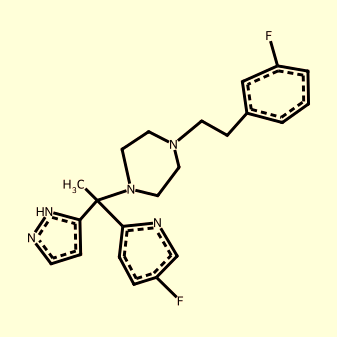 CC(c1ccc(F)cn1)(c1ccn[nH]1)N1CCN(CCc2cccc(F)c2)CC1